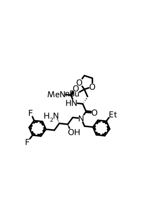 CCCCC1(C[C@@H](NC(=O)NC)C(=O)N(Cc2cccc(CC)c2)C[C@@H](O)[C@@H](N)Cc2cc(F)cc(F)c2)OCCO1